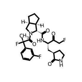 C[C@@](F)(C(=O)N1C[C@H]2CCC[C@H]2[C@@H]1C(=O)N[C@@H](C[C@H]1CCNC1=O)C(=O)CF)c1cccc(F)c1